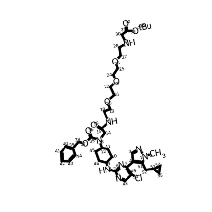 Cn1ncc(-c2nc(NC3CCC(N(CC(=O)NCCOCCOCCOCCNCC(=O)OC(C)(C)C)C(=O)OCc4ccccc4)CC3)ncc2Cl)c1CC1CC1